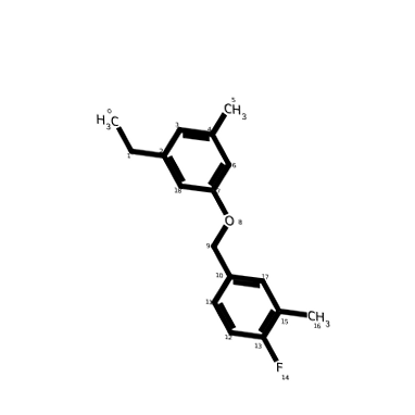 CCc1cc(C)cc(O[CH]c2ccc(F)c(C)c2)c1